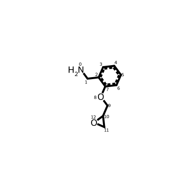 NCc1ccccc1OCC1CO1